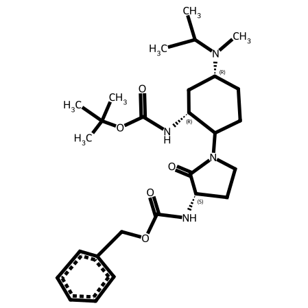 CC(C)N(C)[C@@H]1CCC(N2CC[C@H](NC(=O)OCc3ccccc3)C2=O)[C@H](NC(=O)OC(C)(C)C)C1